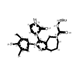 Cc1cc(-n2nc3c(c2-n2cc[nH]c2=O)CN(C(=O)OC(C)(C)C)CCC3)cc(C)c1F